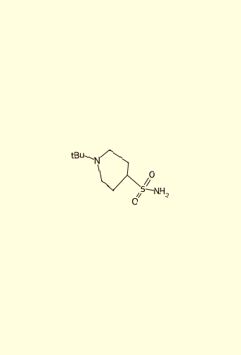 CC(C)(C)N1CCC(S(N)(=O)=O)CC1